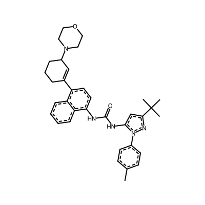 Cc1ccc(-n2nc(C(C)(C)C)cc2NC(=O)Nc2ccc(C3=CC(N4CCOCC4)CCC3)c3ccccc23)cc1